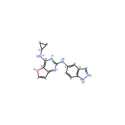 c1cc2nc(Nc3ccc4[nH]ncc4c3)nc(NC3CC3)c2o1